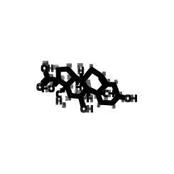 C[C@]12CCC(O)CC1=CC[C@@H]1[C@H]2C(O)C[C@@]2(C)[C@H]1CCC2(O)C(=O)O